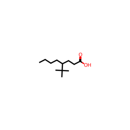 CCCCC(CCC(=O)O)C(C)(C)C